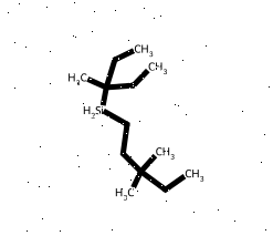 CCC(C)(C)CC[SiH2]C(C)(CC)CC